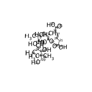 CC(C)C(=O)O.CC(C)C(=O)O.CC(C)C(O)C(C)(C)CO.O=C(O)CCCCC(=O)O